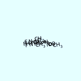 COc1ccnc(CN2CC3(CC(NC(=O)N4[C@H](C)CN(c5ncc(C(F)(F)F)cn5)C[C@@H]4C)C3)C2)c1